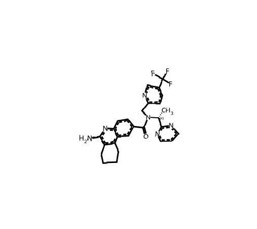 C[C@H](c1ncccn1)N(Cc1ccc(C(F)(F)F)cn1)C(=O)c1ccc2nc(N)c3c(c2c1)CCCC3